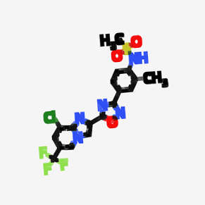 Cc1cc(-c2noc(-c3cn4cc(C(F)(F)F)cc(Cl)c4n3)n2)ccc1NS(C)(=O)=O